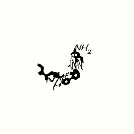 C=C(Nc1cccc(-c2cccc(Nc3nccc4cc(CN)cnc34)c2C)c1F)c1ccc(C(C)CC)cn1